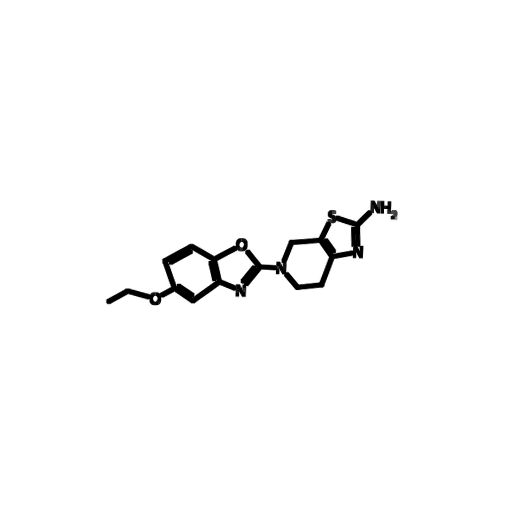 CCOc1ccc2oc(N3CCc4nc(N)sc4C3)nc2c1